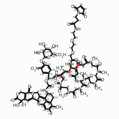 CC[C@@]1(O)C(=O)OCc2c1cc1n(c2=O)Cc2c-1nc1cc(F)c(C)c3c1c2[C@@H](NC(=O)O[C@H](CNC(=O)CC[C@H](NC(=O)COCCOCCNC(=O)CCN1C(=O)C=CC1=O)C(=O)N(C)CC(=O)N(C)CC(=O)N(C)CC(=O)N(C)CC(=O)N(C)CC(=O)N(C)CC(=O)N(C)CC(=O)N(C)CC(=O)N(C)CC(=O)N(C)CC(N)=O)c1ccc(O[C@@H]2O[C@H](C(=O)O)[C@@H](O)[C@H](O)[C@H]2O)c([N+](=O)[O-])c1)CC3